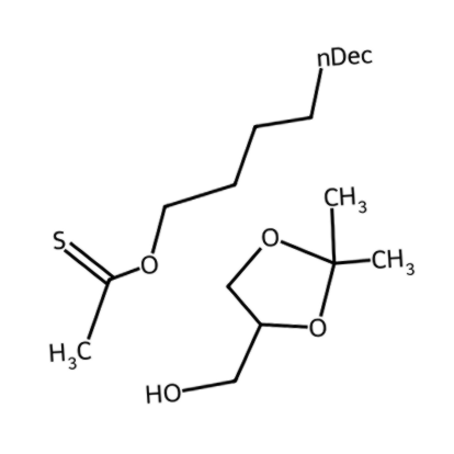 CC1(C)OCC(CO)O1.CCCCCCCCCCCCCCOC(C)=S